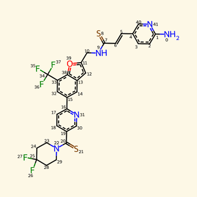 Nc1ccc(C=CC(=S)NCc2cc3cc(-c4ccc(C(=S)N5CCC(F)(F)CC5)cn4)cc(C(F)(F)F)c3o2)cn1